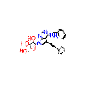 OC[C@H]1O[C@@H](n2cc(C#Cc3ccccc3)c3c(NCc4ccccc4)ncnc32)[C@H](O)[C@@H]1O